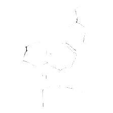 CCOC(=O)N(CI)[C@H]1Cc2ccc(O)cc2[C@]2(C)CCCC[C@H]12